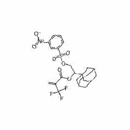 C=C(C(=O)OC(COS(=O)(=O)c1cccc([N+](=O)[O-])c1)C12CC3CC(CC(C3)C1)C2)C(F)(F)F